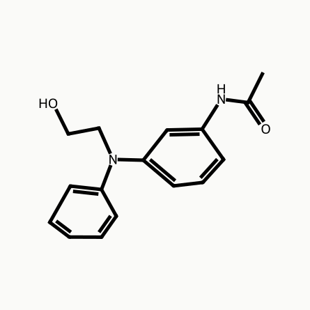 CC(=O)Nc1cccc(N(CCO)c2ccccc2)c1